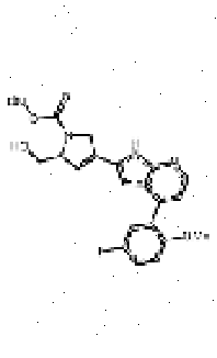 COc1ccc(F)cc1-c1ccnc2[nH]c(C3=CC(CO)N(C(=O)OC(C)(C)C)C3)cc12